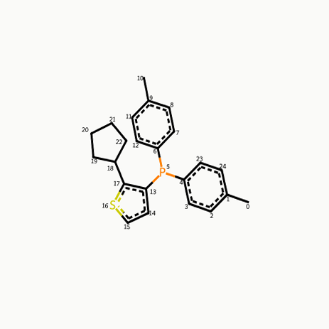 Cc1ccc(P(c2ccc(C)cc2)c2ccsc2C2CCCC2)cc1